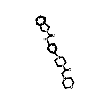 O=C(CN1CCOCC1)N1CCN(c2ccc(NC(=O)N3Cc4ccccc4C3)cc2)CC1